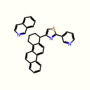 c1ccc2cnccc2c1.c1cncc(-c2nc(C3CCCc4c3ccc3c4ccc4ccccc43)cs2)c1